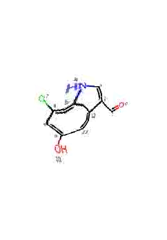 O=Cc1c[nH]c2c(Cl)cc(O)cc12